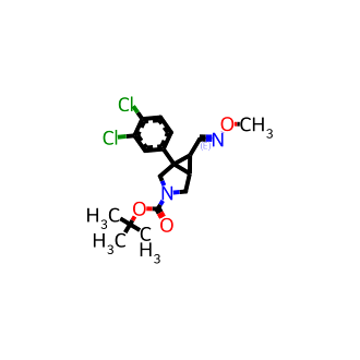 CO/N=C/C1C2CN(C(=O)OC(C)(C)C)CC12c1ccc(Cl)c(Cl)c1